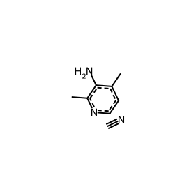 C#N.Cc1ccnc(C)c1N